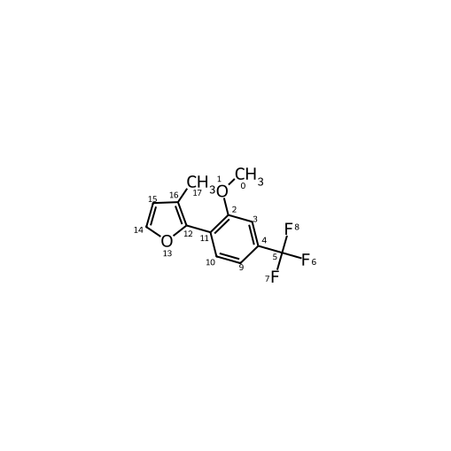 COc1cc(C(F)(F)F)ccc1-c1occc1C